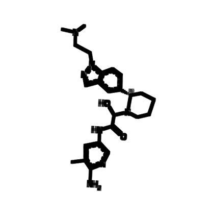 Cc1cc(NC(=O)C(O)N2CCCC[C@H]2c2ccc3c(cnn3CCN(C)C)c2)cnc1N